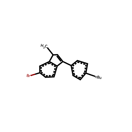 CCCCc1ccc(C2=CC(C)c3cc(Br)ccc32)cc1